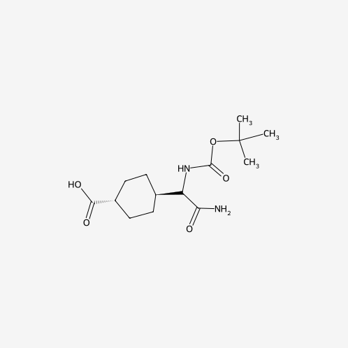 CC(C)(C)OC(=O)NC(C(N)=O)[C@H]1CC[C@H](C(=O)O)CC1